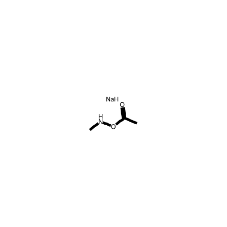 CNOC(C)=O.[NaH]